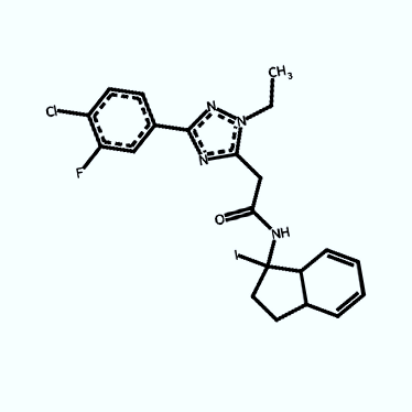 CCn1nc(-c2ccc(Cl)c(F)c2)nc1CC(=O)NC1(I)CCC2C=CC=CC21